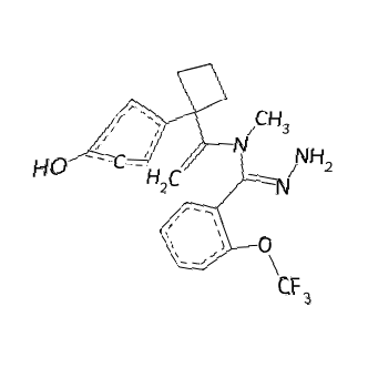 C=C(N(C)/C(=N\N)c1ccccc1OC(F)(F)F)C1(c2ccc(O)cc2)CCC1